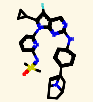 CN1C2C=C(c3ccc(Nc4ncc5c(F)c(C6CC6)n(-c6cccc(N=S(C)(C)=O)n6)c5n4)cc3)CC1CC2